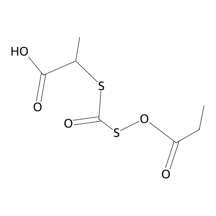 CCC(=O)OSC(=O)SC(C)C(=O)O